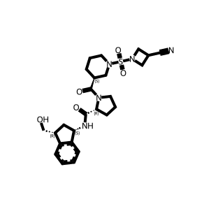 N#CC1CN(S(=O)(=O)N2CCC[C@H](C(=O)N3CCC[C@@H]3C(=O)N[C@H]3C[C@@H](CO)c4ccccc43)C2)C1